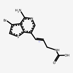 Nc1ncc(/C=C/CNC(=O)O)c2scc(Br)c12